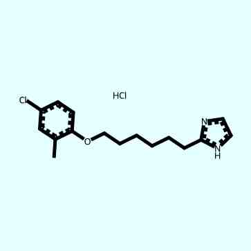 Cc1cc(Cl)ccc1OCCCCCCc1ncc[nH]1.Cl